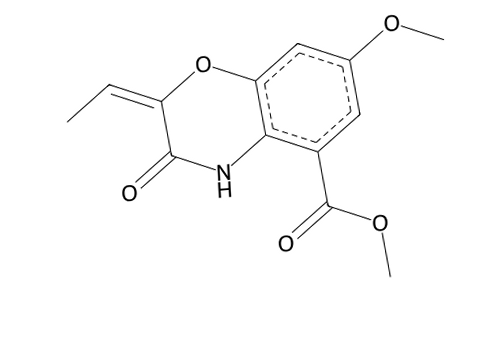 C/C=C1/Oc2cc(OC)cc(C(=O)OC)c2NC1=O